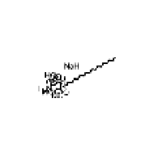 CCCCCCCCCCCCCCCCCCN(C(=O)C(CC(N)=O)S(=O)(=O)O)C(CC(=O)O)C(=O)O.[NaH]